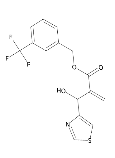 C=C(C(=O)OCc1cccc(C(F)(F)F)c1)C(O)c1cscn1